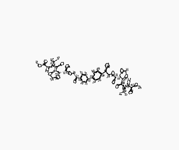 COC(=O)NN(C(=O)[C@@H]1OCO[C@H]1C(=O)OCC(=O)c1ccc(-c2ccc(C(=O)COC(=O)[C@@H]3OCO[C@H]3C(=O)N(NC(=O)OC)C(C)C)cc2)cc1)C(C)C